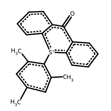 Cc1cc(C)c(-[s+]2c3ccccc3c(=O)c3ccccc32)c(C)c1